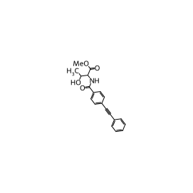 COC(=O)C(NC(=O)c1ccc(C#Cc2ccccc2)cc1)C(C)O